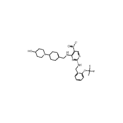 O=[N+]([O-])c1cnc(NCc2ccccc2OC(F)(F)F)nc1NCC1CCC(N2CCC(O)CC2)CC1